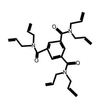 C=CCN(CC=C)C(=O)c1cc(C(=O)N(CC=C)CC=C)cc(C(=O)N(CC=C)CC=C)c1